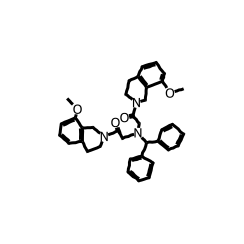 COc1cccc2c1CN(C(=O)CN(CC(=O)N1CCc3cccc(OC)c3C1)C(c1ccccc1)c1ccccc1)CC2